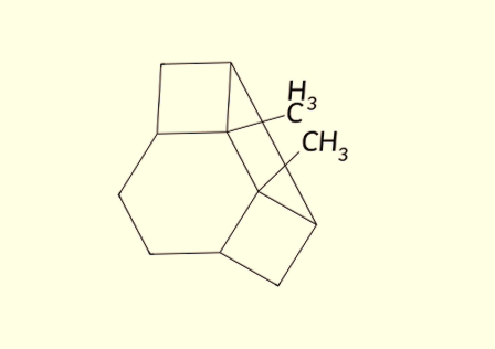 CC12C3CCC4CC(C1C3)C42C